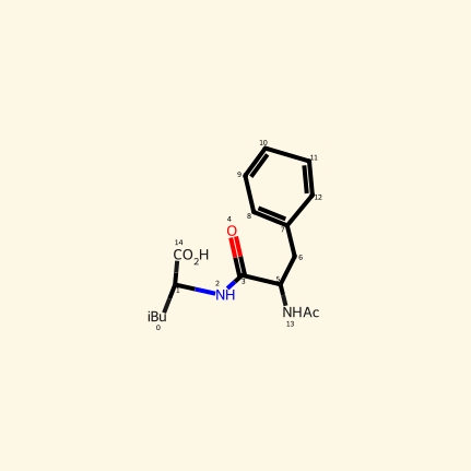 CCC(C)C(NC(=O)C(Cc1ccccc1)NC(C)=O)C(=O)O